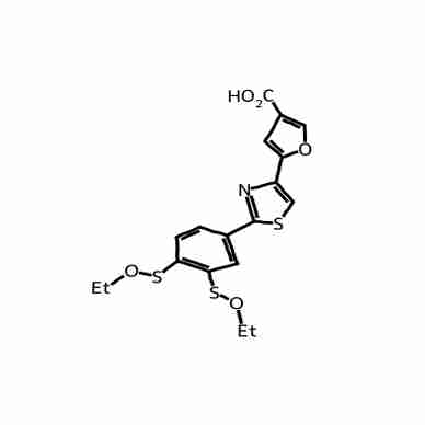 CCOSc1ccc(-c2nc(-c3cc(C(=O)O)co3)cs2)cc1SOCC